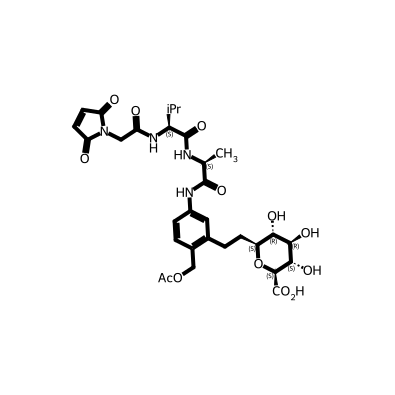 CC(=O)OCc1ccc(NC(=O)[C@H](C)NC(=O)[C@@H](NC(=O)CN2C(=O)C=CC2=O)C(C)C)cc1CC[C@@H]1O[C@H](C(=O)O)[C@@H](O)[C@H](O)[C@H]1O